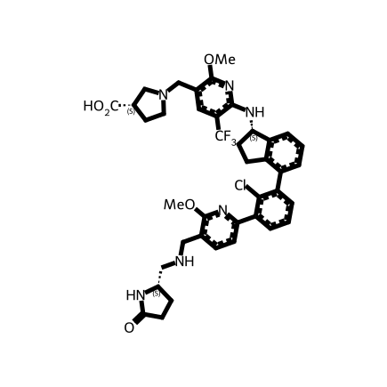 COc1nc(-c2cccc(-c3cccc4c3CC[C@@H]4Nc3nc(OC)c(CN4CC[C@H](C(=O)O)C4)cc3C(F)(F)F)c2Cl)ccc1CNC[C@@H]1CCC(=O)N1